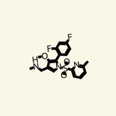 CNCc1cn(S(=O)(=O)c2cccc(C)n2)c(-c2ccc(F)cc2F)c1OC